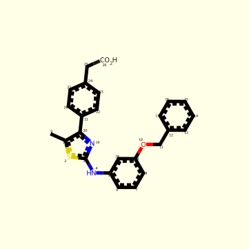 Cc1sc(Nc2cccc(OCc3ccccc3)c2)nc1-c1ccc(CC(=O)O)cc1